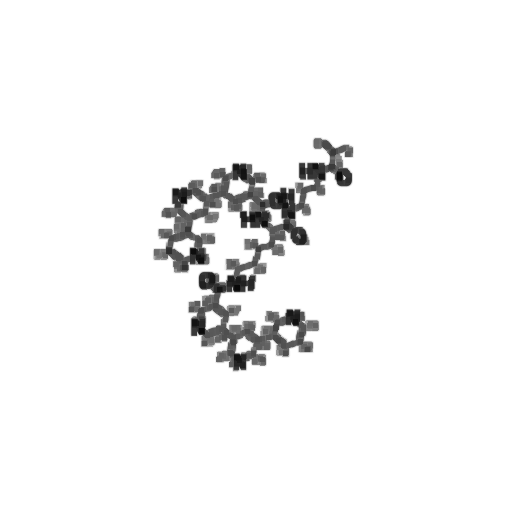 C=C(C)C(=O)NCCCNC(=O)C(CCCCNC(=O)c1cncc(-c2cncc(-c3cccnc3)c2)c1)NC(=O)c1cncc(-c2cncc(-c3cccnc3)c2)c1